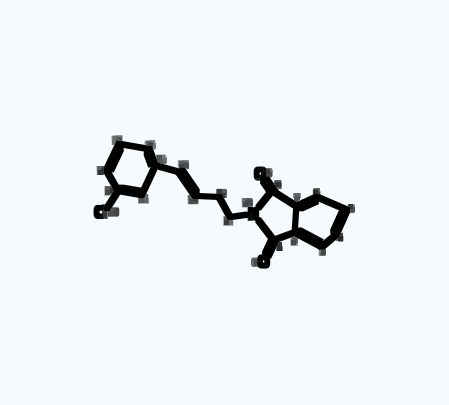 O=C1c2ccccc2C(=O)N1CCC=Cc1cccc(Cl)c1